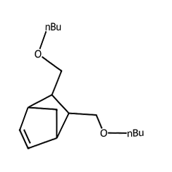 CCCCOCC1C2C=CC(C2)C1COCCCC